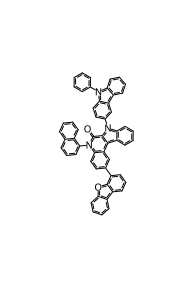 O=c1c2c(c3cc(-c4cccc5c4oc4ccccc45)ccc3n1-c1cccc3ccccc13)c1ccccc1n2-c1ccc2c(c1)c1ccccc1n2-c1ccccc1